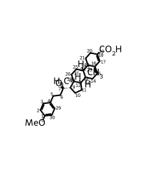 COc1ccc(CCC(=O)[C@H]2CC[C@H]3[C@@H]4CC=C5C=C(C(=O)O)CC[C@]5(C)[C@H]4CC[C@]23C)cc1